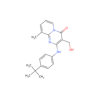 Cc1cccn2c(=O)c(CO)c(Nc3ccc(C(C)(C)C)cc3)nc12